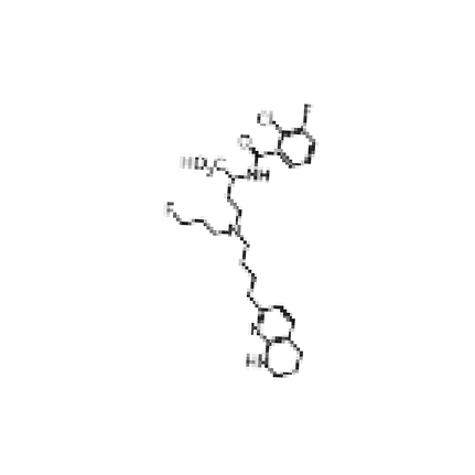 O=C(NC(CCN(CCCF)CCCCc1ccc2c(n1)NCCC2)C(=O)O)c1cccc(F)c1Cl